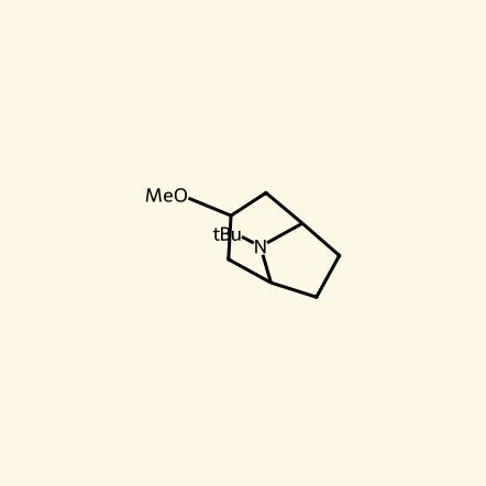 COC1CC2CCC(C1)N2C(C)(C)C